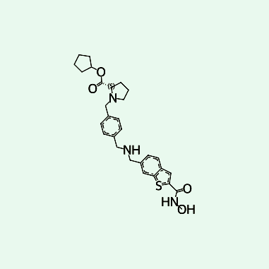 O=C(NO)c1cc2ccc(CNCc3ccc(CN4CCC[C@H]4C(=O)OC4CCCC4)cc3)cc2s1